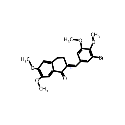 COc1cc2c(cc1OC)C(=O)/C(=C/c1cc(Br)c(OC)c(OC)c1)CC2